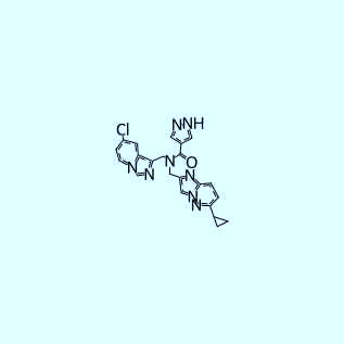 O=C(c1cn[nH]c1)N(Cc1cn2nc(C3CC3)ccc2n1)Cc1ncn2ccc(Cl)cc12